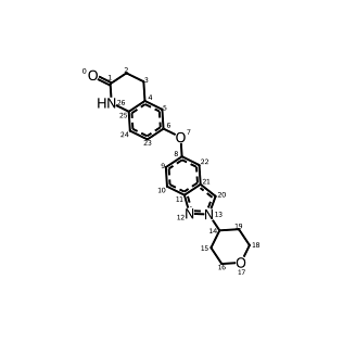 O=C1CCc2cc(Oc3ccc4nn(C5CCOCC5)cc4c3)ccc2N1